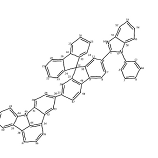 c1ccc(-n2c(-c3ccc4c(c3)C3(c5ccccc5-c5ccccc53)c3cc(-c5ccc6c(c5)c5cccc7c8ccccc8n6c75)ccc3-4)nc3ccccc32)cc1